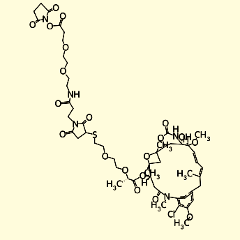 COc1cc2cc(c1Cl)N(C)C(=O)C[C@H](OC(=O)[C@H](C)OCCOCCSC1CC(=O)N(CCC(=O)NCCOCCOCCC(=O)ON3C(=O)CCC3=O)C1=O)[C@@]1(C)CC(C)(O1)C1C[C@@](O)(NC(=O)O1)[C@H](OC)/C=C/C=C(\C)C2